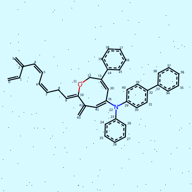 C=CC(=C)/C=C\C=C/C/C=C1\OC/C(c2ccccc2)=C\C(N(c2ccccc2)c2ccc(-c3ccccc3)cc2)=C/C1=C